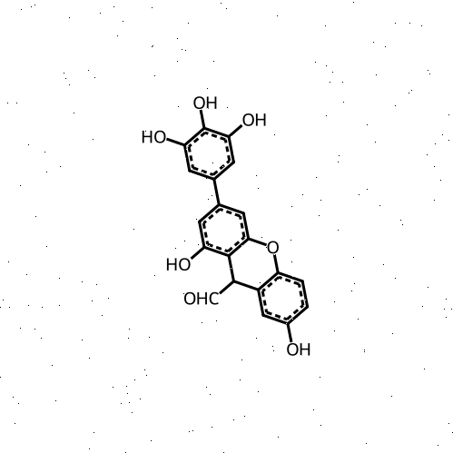 O=CC1c2cc(O)ccc2Oc2cc(-c3cc(O)c(O)c(O)c3)cc(O)c21